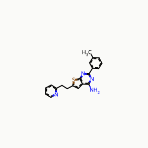 Cc1cccc(-c2nc(N)c3cc(CCc4ccccn4)sc3n2)c1